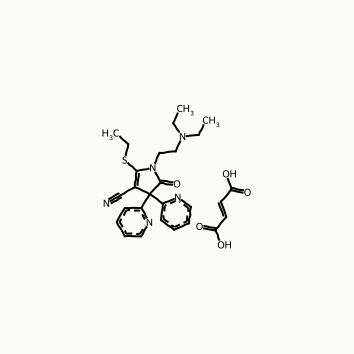 CCSC1=C(C#N)C(c2ccccn2)(c2ccccn2)C(=O)N1CCN(CC)CC.O=C(O)C=CC(=O)O